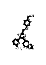 Cc1cccc(-c2[nH]c(CNc3ccc(CC#N)cc3)nc2C2=Cn3ncnc3CC2)n1